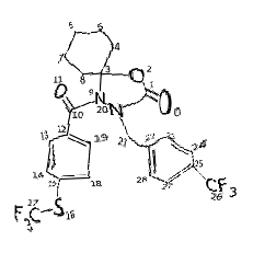 O=C1OC2(CCCCC2)N(C(=O)c2ccc(SC(F)(F)F)cc2)N1Cc1ccc(C(F)(F)F)cc1